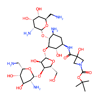 CC(C)(C)OC(=O)N1CC(O)(C(=O)N[C@@H]2C[C@H](N)[C@@H](O[C@H]3O[C@H](CN)[C@@H](O)[C@@H](O)[C@H]3N)[C@H](O[C@@H]3O[C@H](CO)[C@@H](O[C@H]4O[C@@H](CN)[C@@H](O)[C@H](O)[C@H]4N)[C@H]3O)[C@H]2O)C1